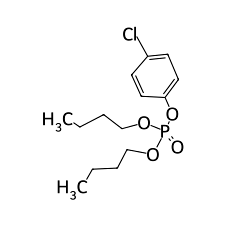 CCCCOP(=O)(OCCCC)Oc1ccc(Cl)cc1